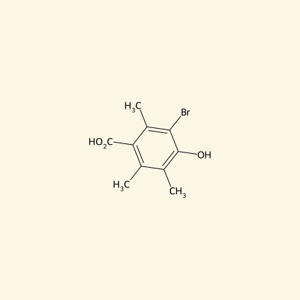 Cc1c(C)c(C(=O)O)c(C)c(Br)c1O